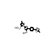 Cc1cc(C(=O)O)n(-c2nc(-c3ccc(-c4nnc(C)o4)cc3)c(SC(C)C)s2)n1